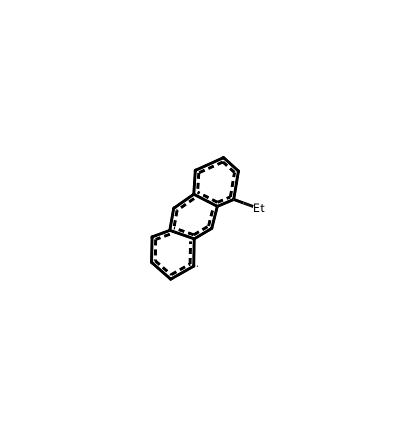 CCc1cccc2cc3ccc[c]c3cc12